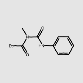 CCC(=O)N(C)C(=O)Nc1ccccc1